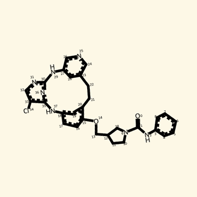 O=C(Nc1ccccc1)N1CCC(COc2ccc3cc2CCc2cncc(c2)Nc2ncc(Cl)c(n2)N3)C1